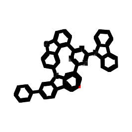 c1ccc(-c2ccc3c4ccccc4n(-c4ccc5oc6cccc(-c7nc(-c8ccccc8)nc(-n8c9ccccc9c9ccccc98)n7)c6c5c4)c3c2)cc1